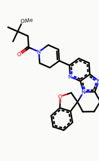 COC(C)(C)CC(=O)N1CC=C(c2ccc3nc4n(c3n2)C2(CCC4)COc3ccccc32)CC1